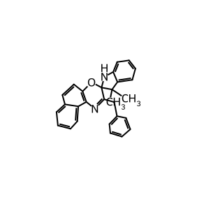 CC1(C)c2ccccc2NC12Oc1ccc3ccccc3c1N=C2Cc1ccccc1